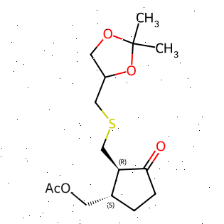 CC(=O)OC[C@H]1CCC(=O)[C@@H]1CSCC1COC(C)(C)O1